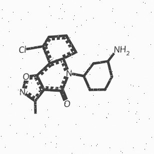 Cc1noc2c1c(=O)n(C1CCCC(N)C1)c1cccc(Cl)c21